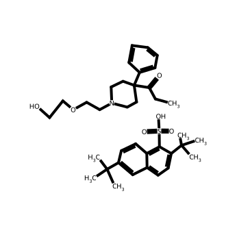 CC(C)(C)c1ccc2c(S(=O)(=O)O)c(C(C)(C)C)ccc2c1.CCC(=O)C1(c2ccccc2)CCN(CCOCCO)CC1